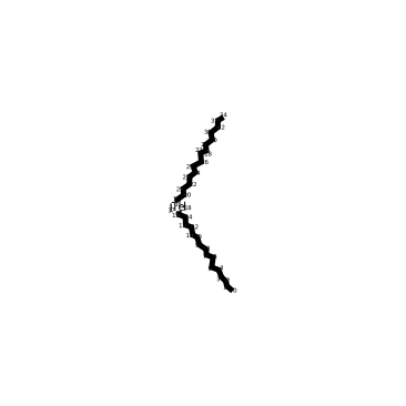 CCCCCCCCCCCCCCCC[Te](I)(I)CCCCCCCCCCCCCCCC